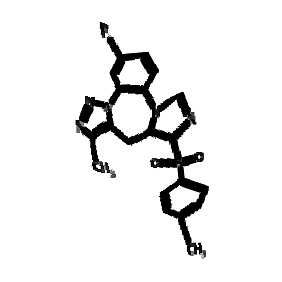 Cc1ccc(S(=O)(=O)C2N=CN3c4ccc(F)cc4-n4nnc(C)c4CC23)cc1